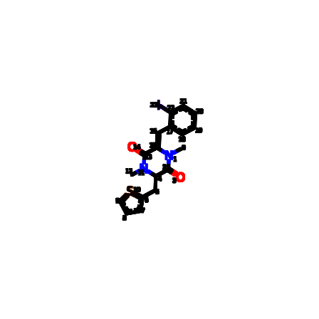 CN1C(=O)C(Cc2cccs2)N(C)C(=O)C1=Cc1ccccc1I